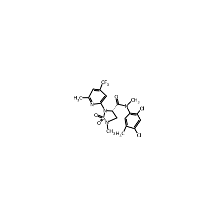 Cc1cc(C(F)(F)F)cc(N2[C@H](C(=O)N(C)c3cc(C)c(Cl)cc3Cl)CN(C)S2(=O)=O)n1